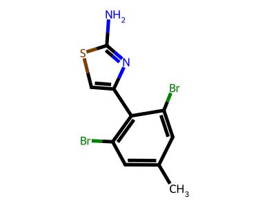 Cc1cc(Br)c(-c2csc(N)n2)c(Br)c1